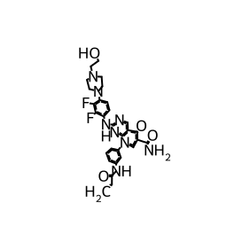 C=CC(=O)Nc1cccc(-n2cc(C(N)=O)c(=O)c3cnc(Nc4ccc(N5CCN(CCO)CC5)c(F)c4F)nc32)c1